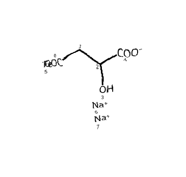 O=C([O-])CC(O)C(=O)[O-].[Fe].[Na+].[Na+]